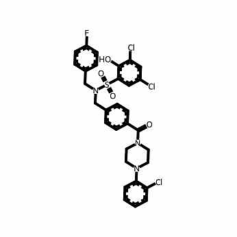 O=C(c1ccc(CN(Cc2ccc(F)cc2)S(=O)(=O)c2cc(Cl)cc(Cl)c2O)cc1)N1CCN(c2ccccc2Cl)CC1